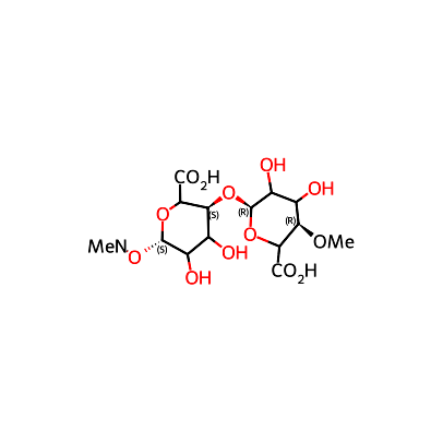 CNO[C@@H]1OC(C(=O)O)[C@@H](O[C@@H]2OC(C(=O)O)[C@H](OC)C(O)C2O)C(O)C1O